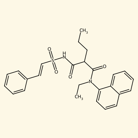 CCCC(C(=O)NS(=O)(=O)C=Cc1ccccc1)C(=O)N(CC)c1cccc2ccccc12